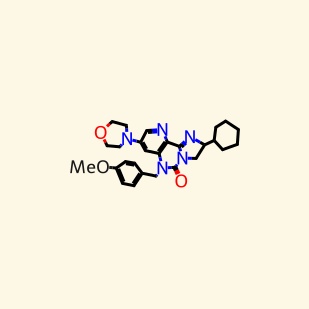 COc1ccc(CN2C(=O)N3CC(C4CCCCC4)N=C3c3ncc(N4CCOCC4)cc32)cc1